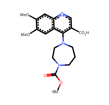 COc1cc2ncc(C(=O)O)c(N3CCCN(C(=O)OC(C)(C)C)CC3)c2cc1OC